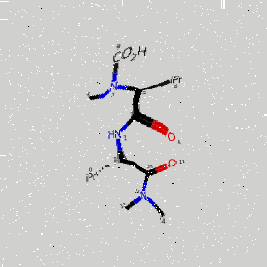 CC(C)[C@H](NC(=O)[C@H](C(C)C)N(C)C(=O)O)C(=O)N(C)C